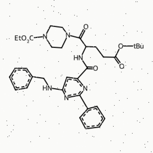 CCOC(=O)N1CCN(C(=O)C(CCC(=O)OC(C)(C)C)NC(=O)c2cc(NCc3ccccc3)nc(-c3ccccc3)n2)CC1